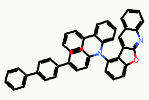 c1ccc(-c2ccc(-c3ccc(N(c4ccccc4-c4ccccc4)c4cccc5oc6nc7ccccc7cc6c45)cc3)cc2)cc1